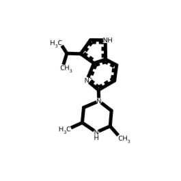 CC1CN(c2ccc3[nH]cc(C(C)C)c3n2)CC(C)N1